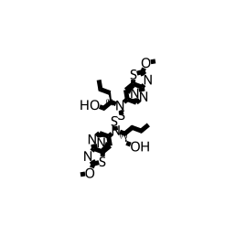 CCC[C@H](CO)N(SSN(C1c2nc1c1sc(OC)nc1n2)[C@@H](CO)CCC)C1c2nc1c1sc(OC)nc1n2